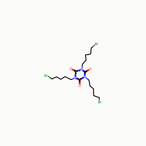 O=c1n(CCCCCBr)c(=O)n(CCCCCBr)c(=O)n1CCCCCBr